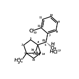 CC12CCC([C@@H](O)c3ccccc3Cl)(CC1)N2.Cl